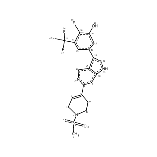 CS(=O)(=O)N1CC=C(c2cc3[nH]nc(-c4cc(O)c(F)c(C(F)(F)F)c4)c3cn2)CC1